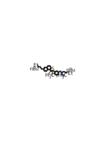 C/C=C\C(=C/c1ccc(C)c(-c2sc3ccc4cc(CCC(CC)CCCC)ccc4c3c2C)c1)CCC(CC)CCCC